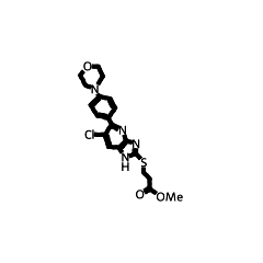 COC(=O)CCSc1nc2nc(-c3ccc(N4CCOCC4)cc3)c(Cl)cc2[nH]1